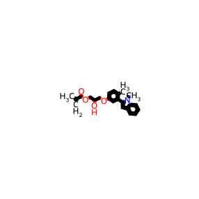 C=C(C)C(=O)OCC(O)COc1ccc(C)c(-c2cc3ccccc3n2C)c1